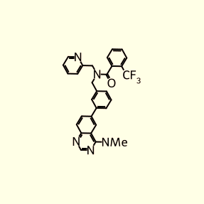 CNc1ncnc2ccc(-c3cccc(CN(Cc4ccccn4)C(=O)c4ccccc4C(F)(F)F)c3)cc12